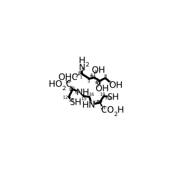 N[C@@H](C=O)C[C@H](O)[C@H](O)CO.O=C(O)[C@H](CS)NCCN[C@@H](CS)C(=O)O